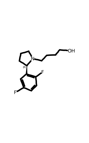 OC[CH]CCN1CCC[C@@H]1c1cc(F)ccc1F